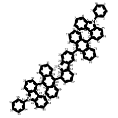 c1ccc(-n2c3ccccc3c3c(-c4c5ccccc5c(-c5ccc6sc7c(-c8c9ccccc9c(-c9cccc%10c9c9ccccc9n%10-c9ccccc9)c9ccccc89)cccc7c6c5)c5ccccc45)cccc32)cc1